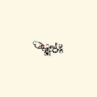 CC(C)OC(=O)N1CC2COCC(C1)C2OCc1nc(-c2ccc(S(C)(=O)=O)c(F)c2)no1